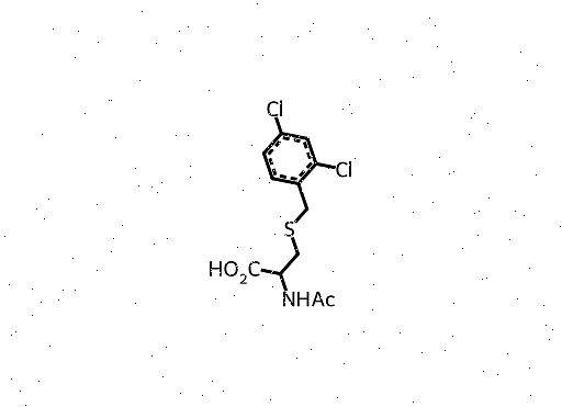 CC(=O)NC(CSCc1ccc(Cl)cc1Cl)C(=O)O